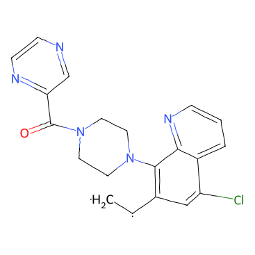 [CH2][CH]c1cc(Cl)c2cccnc2c1N1CCN(C(=O)c2cnccn2)CC1